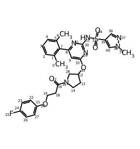 Cc1cccc(C)c1-c1cc(OC2CCN(C(=O)CCOc3ccc(F)cc3)C2)nc(NS(=O)(=O)c2cnn(C)c2)n1